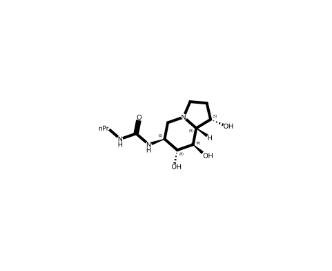 CCCNC(=O)N[C@H]1CN2CC[C@H](O)[C@@H]2[C@@H](O)[C@@H]1O